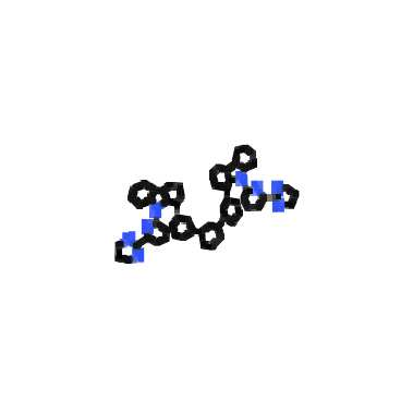 c1cnc(-c2cccc(-n3c4ccccc4c4cccc(-c5cccc(-c6cccc(-c7cccc(-c8cccc9c%10ccccc%10n(-c%10cccc(-c%11ncccn%11)n%10)c89)c7)c6)c5)c43)n2)nc1